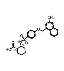 Cc1cc(COc2ccc(S(=O)(=O)N[C@H]3CCCC[C@H]3C(=O)O)cc2)c2ccccc2n1